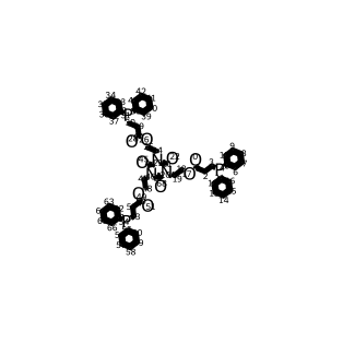 O=C(CCP(c1ccccc1)c1ccccc1)OCCn1c(=O)n(CCOC(=O)CCP(c2ccccc2)c2ccccc2)c(=O)n(CCOC(=O)CCP(c2ccccc2)c2ccccc2)c1=O